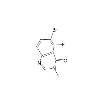 Cn1cnc2ccc(Br)c(F)c2c1=O